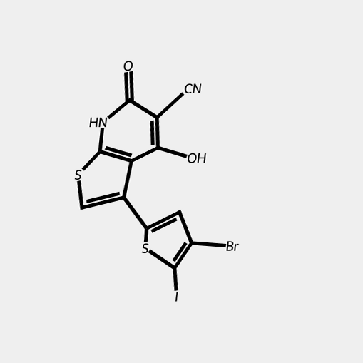 N#Cc1c(O)c2c(-c3cc(Br)c(I)s3)csc2[nH]c1=O